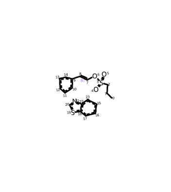 CCCS(=O)(=O)O/C=C/c1ccccc1.c1ccc2scnc2c1